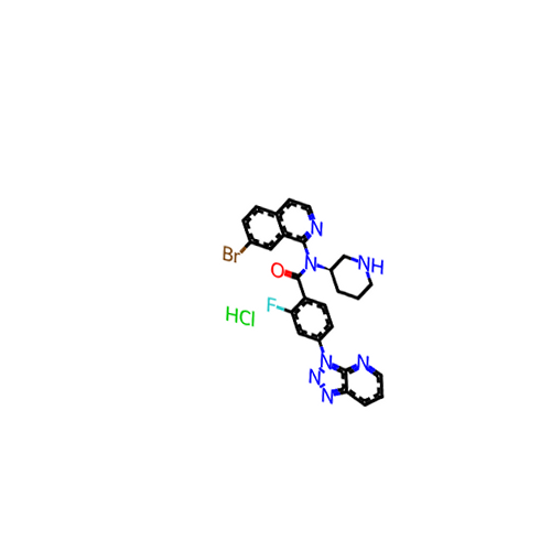 Cl.O=C(c1ccc(-n2nnc3cccnc32)cc1F)N(c1nccc2ccc(Br)cc12)[C@@H]1CCCNC1